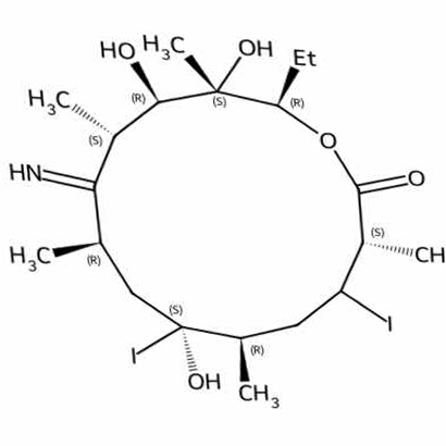 CC[C@H]1OC(=O)[C@H](C)C(I)C[C@@H](C)[C@@](O)(I)C[C@@H](C)C(=N)[C@H](C)[C@@H](O)[C@]1(C)O